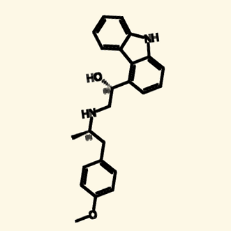 COc1ccc(C[C@@H](C)NC[C@H](O)c2cccc3[nH]c4ccccc4c23)cc1